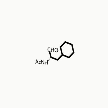 CC(=O)N[C@H]([C]=O)CC1CCCCC1